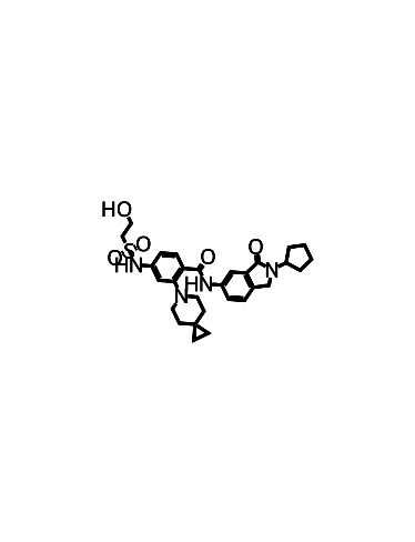 O=C(Nc1ccc2c(c1)C(=O)N(C1CCCC1)C2)c1ccc(NS(=O)(=O)CCO)cc1N1CCC2(CC1)CC2